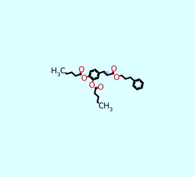 CCCCC(=O)Oc1ccc(/C=C/C(=O)OCCCc2ccccc2)cc1OC(=O)CCCC